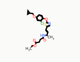 CCOC(=O)CCC(=O)N[C@@H](C)/C=C/c1cnc(Oc2ccc(OCC3CC3)cc2Cl)s1